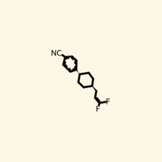 N#Cc1ccc([C@H]2CC[C@H](CC=C(F)F)CC2)cc1